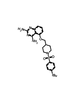 CC(C)(C)c1ccc(S(=O)(=O)N2CCC(COc3cccc4nc(N)nc(N)c34)CC2)cc1